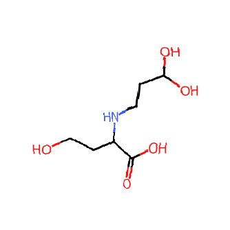 O=C(O)C(CCO)NCCC(O)O